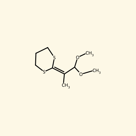 COC(OC)C(C)=C1SCCCS1